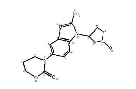 Nc1nc2cc(N3CCCOC3=O)ccc2n1C1CC[S+]([O-])C1